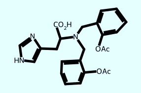 CC(=O)Oc1ccccc1CN(Cc1ccccc1OC(C)=O)C(Cc1c[nH]cn1)C(=O)O